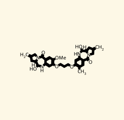 C=C1C[C@H]2C(O)Nc3cc(OCCCOc4cc5c(cc4OC)C(=O)N4CC(=C)C[C@H]4C(O)N5)c(C)cc3C(=O)N2C1